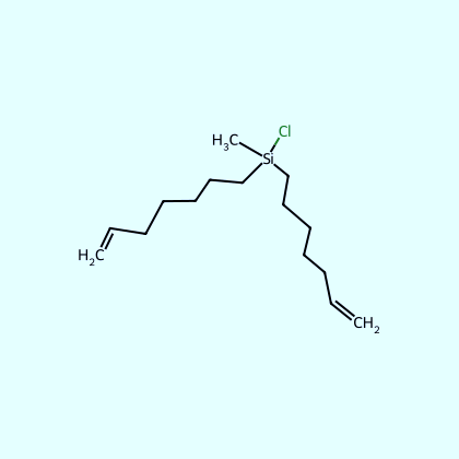 C=CCCCCC[Si](C)(Cl)CCCCCC=C